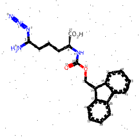 [N-]=[N+]=NC(N)CCC[C@H](NC(=O)OCC1c2ccccc2-c2ccccc21)C(=O)O